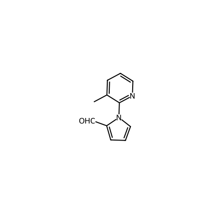 Cc1cccnc1-n1cccc1C=O